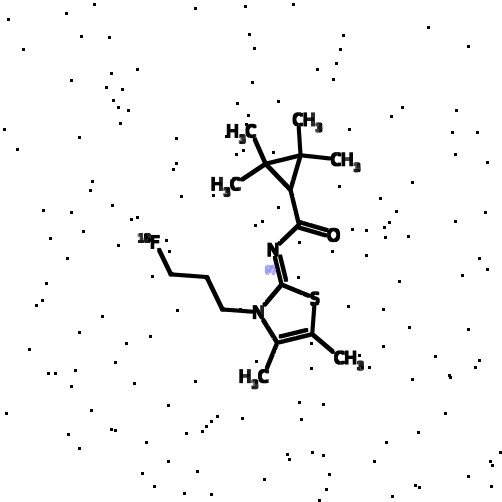 Cc1s/c(=N\C(=O)C2C(C)(C)C2(C)C)n(CCC[18F])c1C